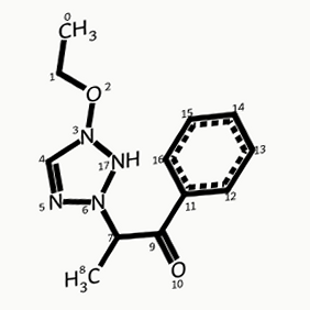 CCON1C=NN(C(C)C(=O)c2ccccc2)N1